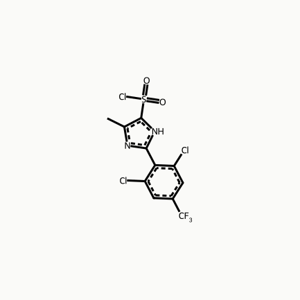 Cc1nc(-c2c(Cl)cc(C(F)(F)F)cc2Cl)[nH]c1S(=O)(=O)Cl